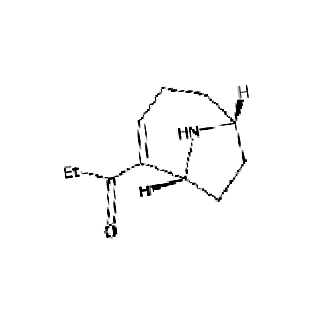 CCC(=O)C1=CCC[C@@H]2CC[C@H]1N2